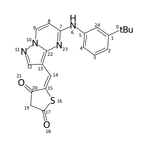 CC(C)(C)c1cccc(Nc2ccn3ncc(/C=C4/SC(=O)CC4=O)c3n2)c1